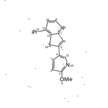 COc1ccc(-c2cc3nccc(C(C)C)c3s2)cn1